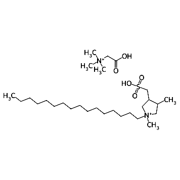 CCCCCCCCCCCCCCCC[N+]1(C)CC(C)C(CS(=O)(=O)O)C1.C[N+](C)(C)CC(=O)O